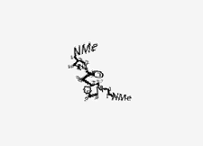 CNCCN1CCOC(CC(=O)N2CC(CNC)C2)C1